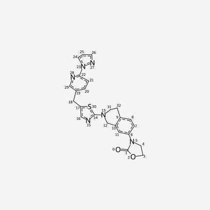 O=C1OCCN1c1ccc2c(c1)CN(c1ncc(Cc3ccc(-n4cccn4)nc3)s1)CC2